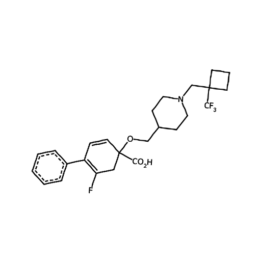 O=C(O)C1(OCC2CCN(CC3(C(F)(F)F)CCC3)CC2)C=CC(c2ccccc2)=C(F)C1